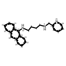 c1ccc(CNCCCCNc2c3ccccc3cc3ccccc23)nc1